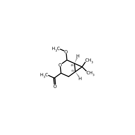 COC1OC(C(C)=O)C[C@H]2[C@@H]1C2(C)C